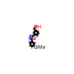 COc1cccc(-c2nnc(-c3cccc(CO)c3)o2)c1